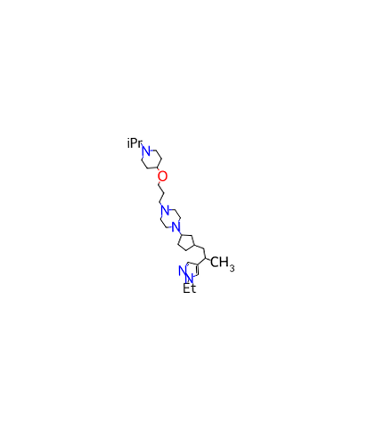 CCn1cc(C(C)CC2CCC(N3CCN(CCCOC4CCN(C(C)C)CC4)CC3)C2)cn1